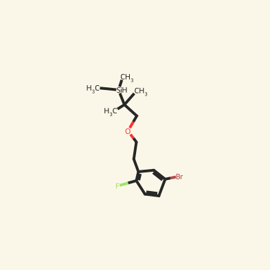 C[SiH](C)C(C)(C)COCCc1cc(Br)ccc1F